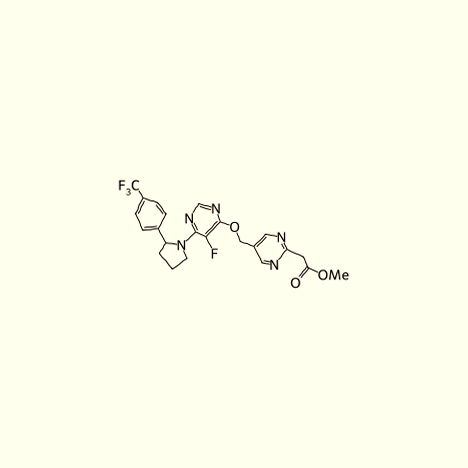 COC(=O)Cc1ncc(COc2ncnc(N3CCCC3c3ccc(C(F)(F)F)cc3)c2F)cn1